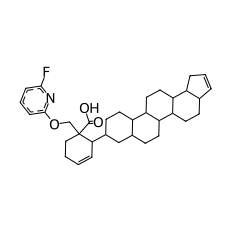 O=C(O)C1(COc2cccc(F)n2)CCC=CC1C1CCC2C(CCC3C2CCC2C4CC=CC4CCC23)C1